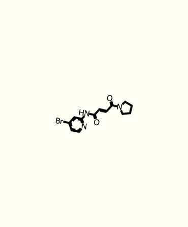 O=C(C=CC(=O)N1CCCC1)Nc1cc(Br)ccn1